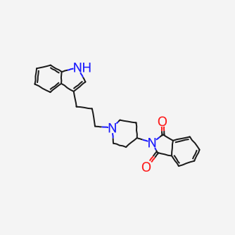 O=C1c2ccccc2C(=O)N1C1CCN(CCCc2c[nH]c3ccccc23)CC1